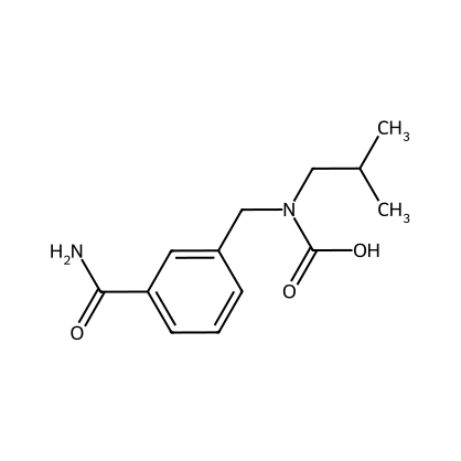 CC(C)CN(Cc1cccc(C(N)=O)c1)C(=O)O